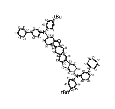 CC(C)(C)c1ccc(N(c2ccc(-c3ccccc3)cc2)c2ccc3c(c2)oc2cc4cc5c(cc4cc23)CC2=CC(N(c3ccc(C(C)(C)C)cc3)c3cccc(C4=CCC=CC=C4)c3)CC=C25)cc1